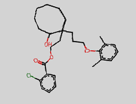 Cc1cccc(C)c1OCCCC1(CCOC(=O)c2ccccc2Cl)CCCCCCC1O